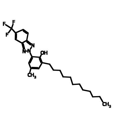 CCCCCCCCCCCCc1cc(C)cc(-n2nc3ccc(C(F)(F)F)cc3n2)c1O